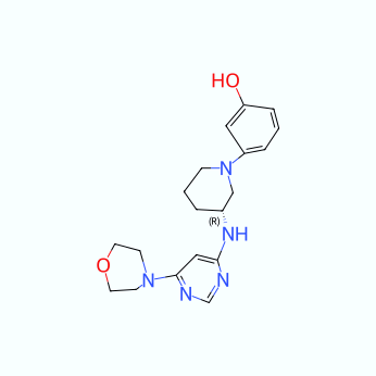 Oc1cccc(N2CCC[C@@H](Nc3cc(N4CCOCC4)ncn3)C2)c1